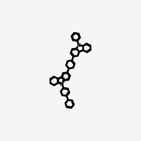 C1=CCC(C2=CC=C(n3c4c(c5cc(C6CC=C(C7=CC=C8C(C7)C7C=CC=CC7N8c7ccccc7)CC6)ccc53)C=CCC4)CC2)C=C1